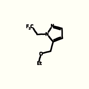 CCOCc1ccnn1CC(F)(F)F